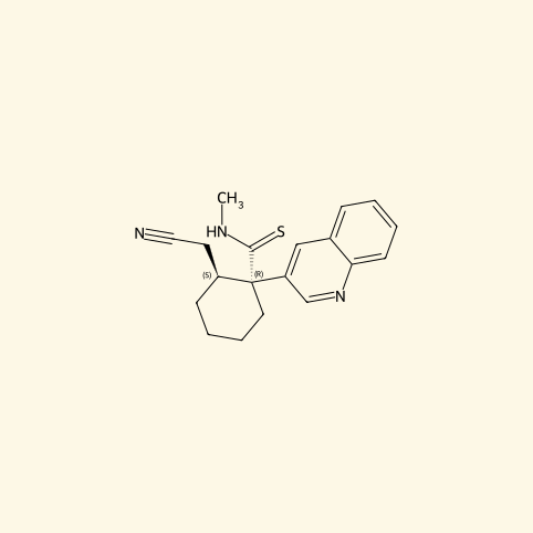 CNC(=S)[C@]1(c2cnc3ccccc3c2)CCCC[C@H]1CC#N